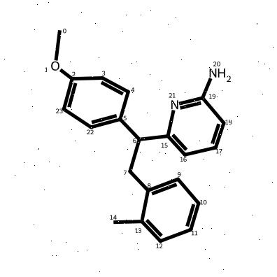 COc1ccc(C(Cc2ccccc2C)c2cccc(N)n2)cc1